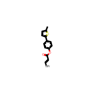 CCC/C=C/C(=O)Oc1ccc(-c2ccc(C)s2)cc1